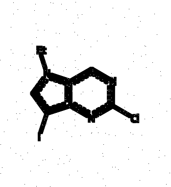 CCn1cc(I)c2nc(Cl)ncc21